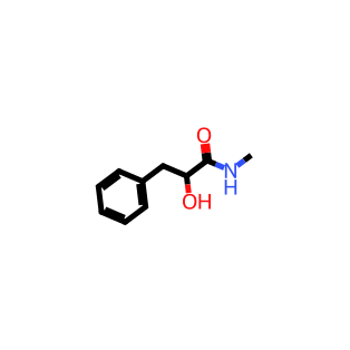 CNC(=O)C(O)Cc1ccccc1